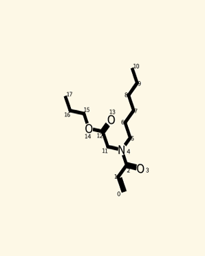 C=CC(=O)N(CCCCCC)CC(=O)OCCC